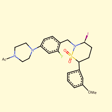 COc1cccc(C2CC[C@H](I)N(Cc3ccc(N4CCN(C(C)=O)CC4)cc3F)S2(=O)=O)c1